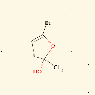 CCC1=CCC(C)(O)O1